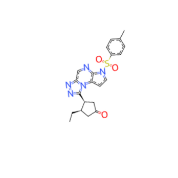 CC[C@@H]1CC(=O)C[C@@H]1c1nnc2cnc3c(ccn3S(=O)(=O)c3ccc(C)cc3)n12